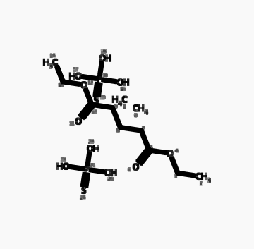 C.C.CCOC(=O)CCCC(=O)OCC.OP(O)(O)=S.OP(O)(O)=S